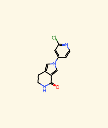 O=C1NCCc2cn(-c3ccnc(Cl)c3)cc21